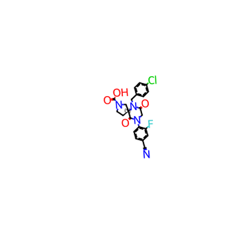 N#Cc1ccc(N2CC(=O)N(Cc3ccc(Cl)cc3)[C@]3(CCN(C(=O)O)C3)C2=O)c(F)c1